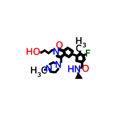 Cc1c(F)cc(C(=O)NC2CC2)cc1-c1ccc2c(=O)n(CCCCO)cc(CN3CCCN(C)CC3)c2c1